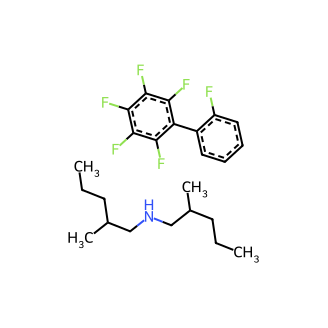 CCCC(C)CNCC(C)CCC.Fc1ccccc1-c1c(F)c(F)c(F)c(F)c1F